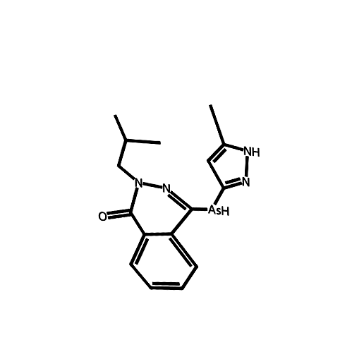 Cc1cc([AsH]c2nn(CC(C)C)c(=O)c3ccccc23)n[nH]1